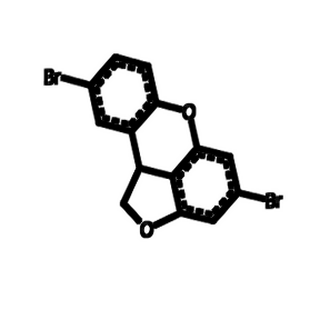 Brc1cc2c3c(c1)Oc1ccc(Br)cc1C3CO2